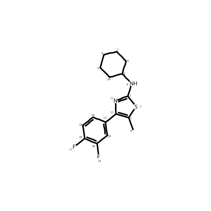 Cc1sc(NC2CCCCC2)nc1-c1ccc(F)c(F)c1